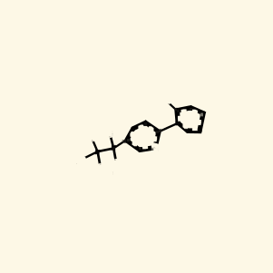 BC(B)(c1ccc(-c2ccccc2C)nc1)C(C)(C)C